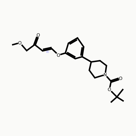 COCC(=O)/C=C/Oc1cccc(C2CCN(C(=O)OC(C)(C)C)CC2)c1